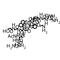 CC(=O)N[C@H](C(=O)N[C@@H](CC(N)=O)C(N)=O)C(C)(C)SSC[C@H](NC(=O)CNC(=O)CNC(=O)C[C@@H](C)O)C(=O)N[C@@H](CC1CCC(OCCN)CC1)C(O)N[C@@H](CC1CCC2CCCCC2C1)C(=O)N[C@@](C)(CC(C)C)C(=O)N[C@@H](C)C(=O)NCC(=O)N[C@@H](CC(N)=O)C(N)=O